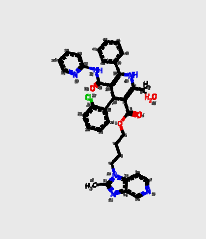 CC1=C(C(=O)OCCCCn2c(C)nc3cnccc32)C(c2ccccc2Cl)C(C(=O)Nc2ccccn2)=C(c2ccccc2)N1.O